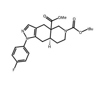 COC(=O)C12Cc3cnn(-c4ccc(F)cc4)c3C[C@@H]1CCN(C(=O)OC(C)(C)C)C2